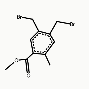 COC(=O)c1cc(CBr)c(CBr)cc1C